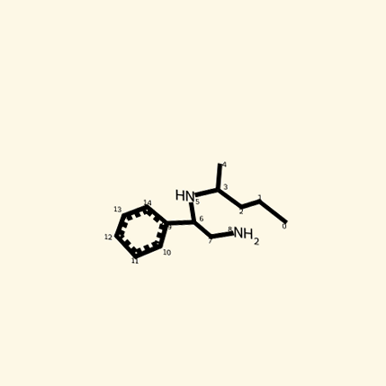 CCCC(C)NC(CN)c1ccccc1